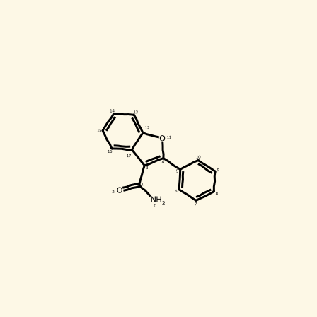 NC(=O)c1c(-c2ccccc2)oc2cc[c]cc12